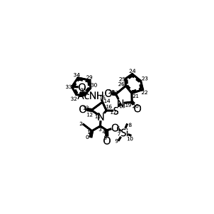 C=C(C)C(C(=O)O[Si](C)(C)C)N1C(=O)C(NC(C)=O)C1SN1C(=O)c2ccccc2C1=O.c1cc2cc(c1)O2